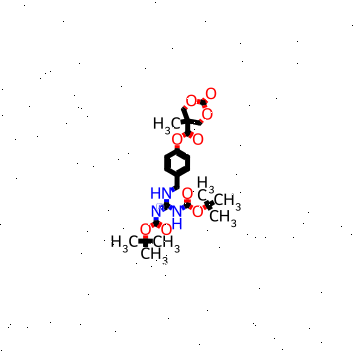 CC(C)(C)OC(=O)/N=C(/NCc1ccc(OC(=O)C2(C)COC(=O)OC2)cc1)NC(=O)OC(C)(C)C